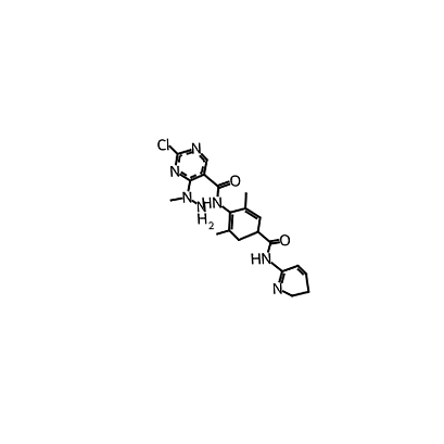 CC1=CC(C(=O)NC2=NCCC=C2)CC(C)=C1NC(=O)c1cnc(Cl)nc1N(C)N